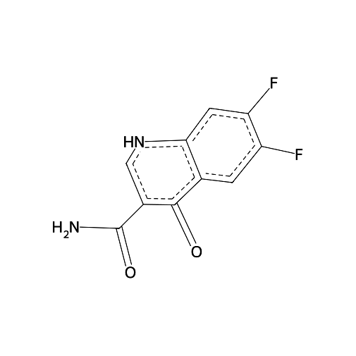 NC(=O)c1c[nH]c2cc(F)c(F)cc2c1=O